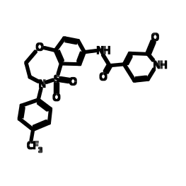 O=C(Nc1ccc2c(c1)S(=O)(=O)N(c1ccc(C(F)(F)F)cc1)CCO2)c1cc[nH]c(=O)c1